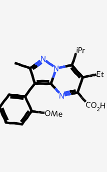 CCc1c(C(=O)O)nc2c(-c3ccccc3OC)c(C)nn2c1C(C)C